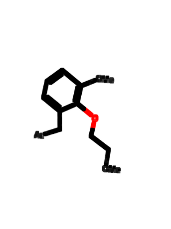 COCCOc1c(CC(C)=O)cccc1OC